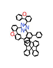 c1ccc(-c2cccc(-c3nc(-c4cccc5oc6ccccc6c45)nc(-c4cccc5oc6ccc(-c7ccc(-c8cccc9c8C8(c%10ccccc%10-c%10ccccc%108)c8ccccc8-9)cc7)cc6c45)n3)c2)cc1